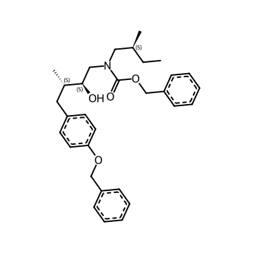 CC[C@H](C)CN(C[C@@H](O)[C@@H](C)Cc1ccc(OCc2ccccc2)cc1)C(=O)OCc1ccccc1